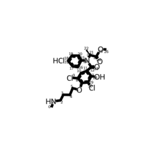 CNCCCCOc1c(Cl)cc(C(=O)N(c2ccccc2)[C@@H](C)C(=O)OC)c(O)c1Cl.Cl